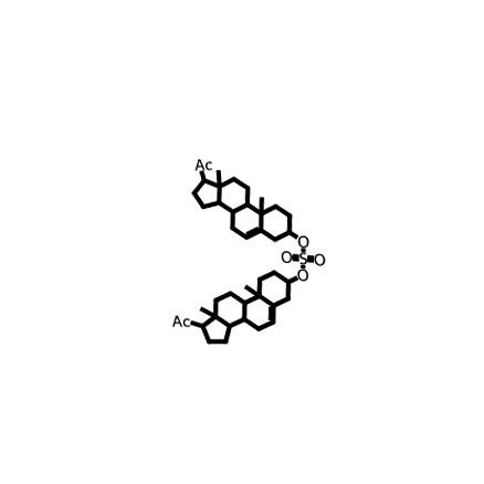 CC(=O)C1CCC2C3CC=C4CC(OS(=O)(=O)OC5CCC6(C)C(=CCC7C6CCC6(C)C(C(C)=O)CCC76)C5)CCC4(C)C3CCC12C